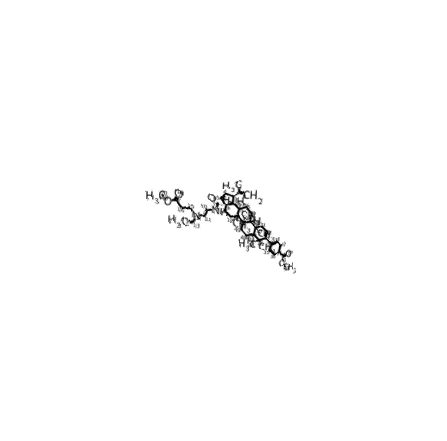 C=C(C)[C@@H]1CC[C@]2(C(=O)NCCN(CC)CCC(=O)OC)CC[C@]3(C)[C@H](CC[C@@H]4[C@@]5(C)CC=C(c6ccc(C(=O)OC)cc6)C(C)(C)[C@@H]5CC[C@]43C)[C@@H]12